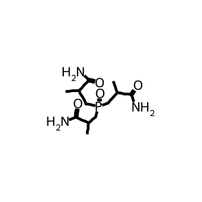 CC(CP(=O)(CC(C)C(N)=O)CC(C)C(N)=O)C(N)=O